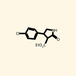 CCOC(=O)C1C(=O)NCC1c1ccc(Cl)cc1